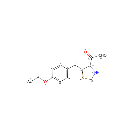 CC(=O)COc1ccc(CC2SCNC2C(=O)C=O)cc1